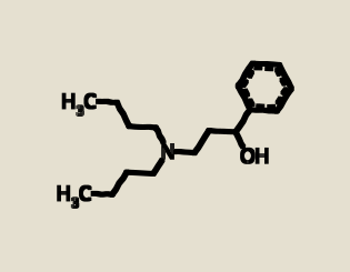 CCCCN(CCCC)CCC(O)c1ccccc1